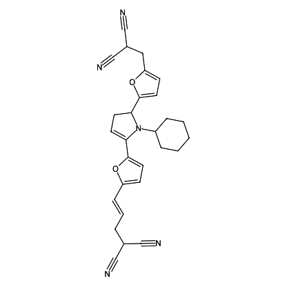 N#CC(C#N)C/C=C/c1ccc(C2=CCC(c3ccc(CC(C#N)C#N)o3)N2C2CCCCC2)o1